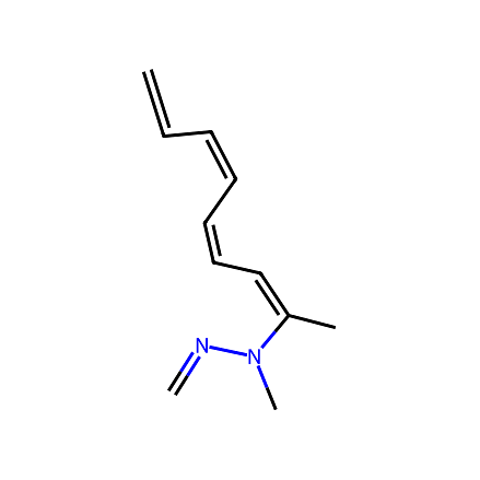 C=C\C=C/C=C\C=C(\C)N(C)N=C